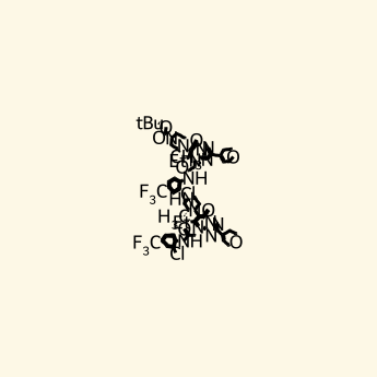 CCc1c(N2CCN(C(=O)OC(C)(C)C)C[C@H]2C)c(=O)n2nc(C3=CCOCC3)nc2n1CC(=O)Nc1ccc(C(F)(F)F)cc1Cl.CCc1c(N2CCNC[C@H]2C)c(=O)n2nc(C3=CCOCC3)nc2n1CC(=O)Nc1ccc(C(F)(F)F)cc1Cl